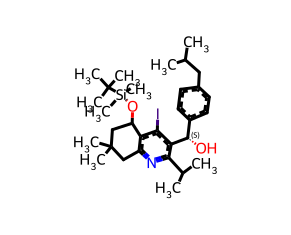 CC(C)Cc1ccc([C@H](O)c2c(C(C)C)nc3c(c2I)C(O[Si](C)(C)C(C)(C)C)CC(C)(C)C3)cc1